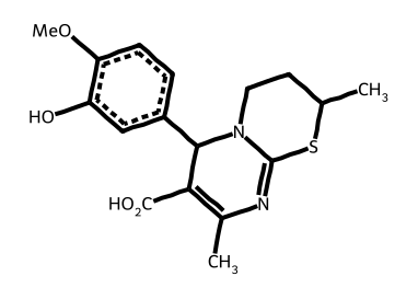 COc1ccc(C2C(C(=O)O)=C(C)N=C3SC(C)CCN32)cc1O